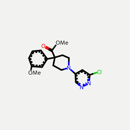 COC(=O)C1(c2cccc(OC)c2)CCN(c2cnnc(Cl)c2)CC1